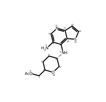 CC(=O)OCC1CC[C@H](Nc2c(N)cnc3ccsc23)CO1